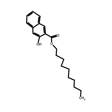 CCCCCCCCCCOC(=O)c1cc2ccccc2cc1O